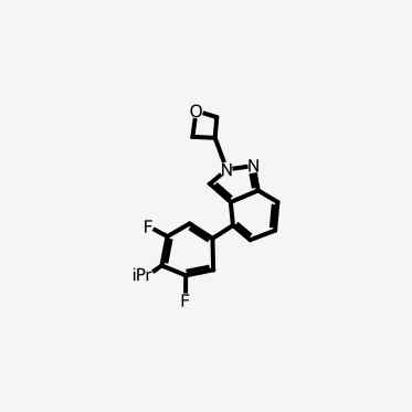 CC(C)c1c(F)cc(-c2cccc3nn(C4COC4)cc23)cc1F